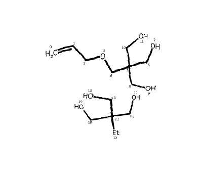 C=CCOCC(CO)(CO)CO.CCC(CO)(CO)CO